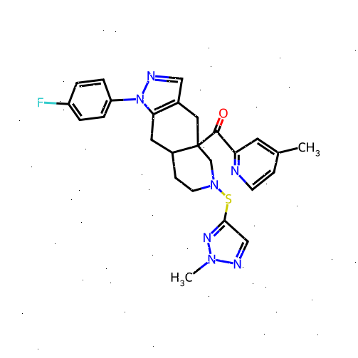 Cc1ccnc(C(=O)C23Cc4cnn(-c5ccc(F)cc5)c4CC2CCN(Sc2cnn(C)n2)C3)c1